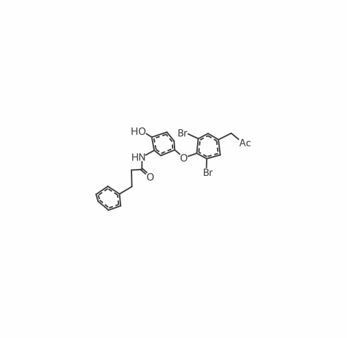 CC(=O)Cc1cc(Br)c(Oc2ccc(O)c(NC(=O)CCc3ccccc3)c2)c(Br)c1